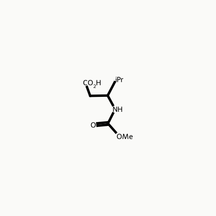 COC(=O)NC(CC(=O)O)C(C)C